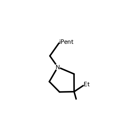 CCCC(C)CN1CCC(C)(CC)C1